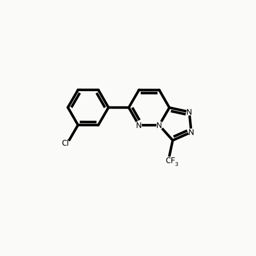 FC(F)(F)c1nnc2ccc(-c3cccc(Cl)c3)nn12